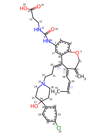 C=C1COc2ccc(NC(=O)NCCC(=O)O)cc2C(=C/CCN2CCC(O)(c3ccc(Cl)cc3)CC2)/C1=C/C=C\C